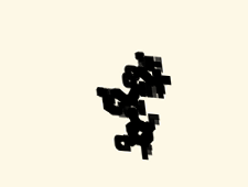 CNC(=O)[C@@H](NC(=O)c1nc(-c2cc(Cl)c(F)cc2F)n2c1CN(C)CC2)C(C)(C)C